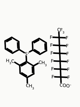 Cc1cc(C)c([S+](c2ccccc2)c2ccccc2)c(C)c1.O=C([O-])C(F)(F)C(F)(F)C(F)(F)C(F)(F)C(F)(F)C(F)(F)C(F)(F)F